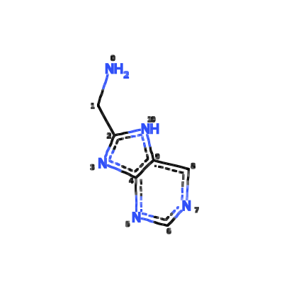 NCc1nc2ncncc2[nH]1